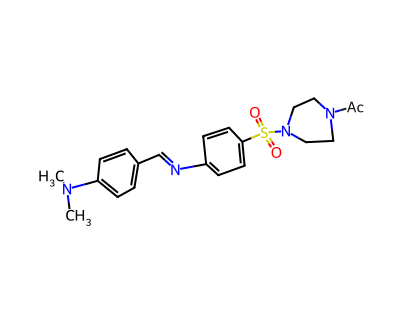 CC(=O)N1CCN(S(=O)(=O)c2ccc(/N=C/c3ccc(N(C)C)cc3)cc2)CC1